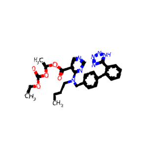 CCCCN(Cc1ccc(-c2ccccc2-c2nnn[nH]2)cc1)c1ncncc1C(=O)OC(C)OC(=O)OCC